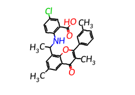 Cc1cccc(-c2oc3c(C(C)Nc4ccc(Cl)cc4C(=O)O)cc(C)cc3c(=O)c2C)c1